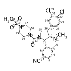 CN(Cc1ccc(C#N)cc1)C1CN(C(=O)N2CCN(S(C)(=O)=O)CC2)CC1c1ccc(Cl)c(Cl)c1